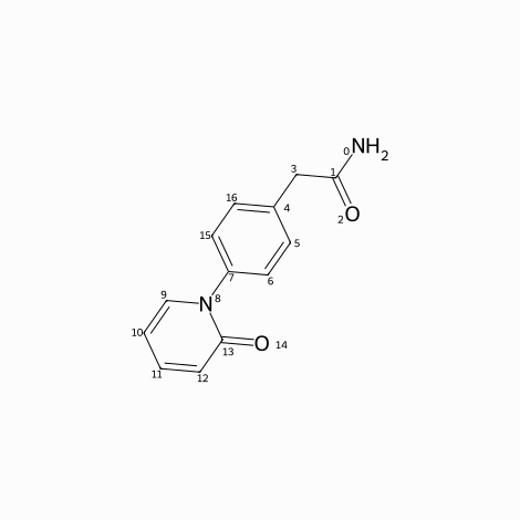 NC(=O)Cc1ccc(-n2ccccc2=O)cc1